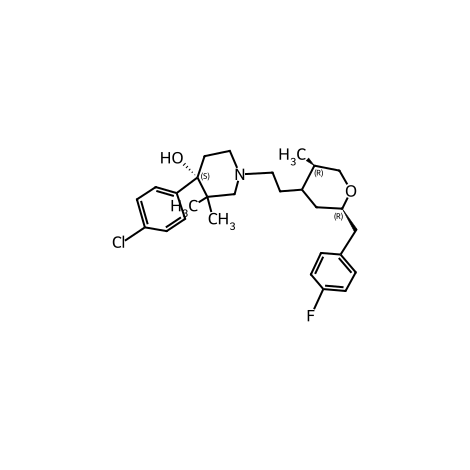 C[C@H]1CO[C@@H](Cc2ccc(F)cc2)CC1CCN1CC[C@](O)(c2ccc(Cl)cc2)C(C)(C)C1